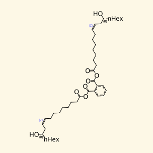 CCCCCC[C@@H](O)C/C=C\CCCCCCCC(=O)OC(=O)c1ccccc1C(=O)OC(=O)CCCCCCC/C=C\C[C@H](O)CCCCCC